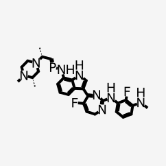 CNc1cccc(NC2=NCC=C(F)C(c3c[nH]c4c(N/P=C/[C@@H](C)N5CCN(C)[C@@H](C)C5)cccc34)=N2)c1F